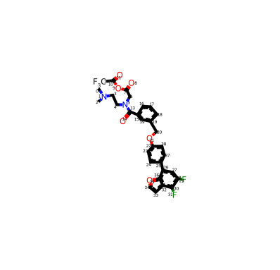 CN(C)CCN(CC(=O)OC(=O)C(F)(F)F)C(=O)c1cccc(COc2ccc(-c3cc(F)c(F)c4ccoc34)cc2)c1